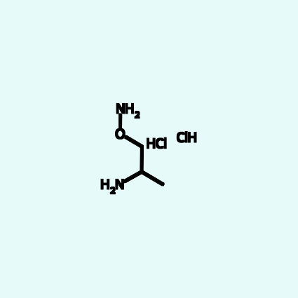 CC(N)CON.Cl.Cl